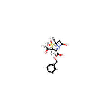 CC(=O)[C@@]1(C)[C@H](C(=O)OCc2ccccc2)N2C(=O)C[C@H]2S1(=O)=O